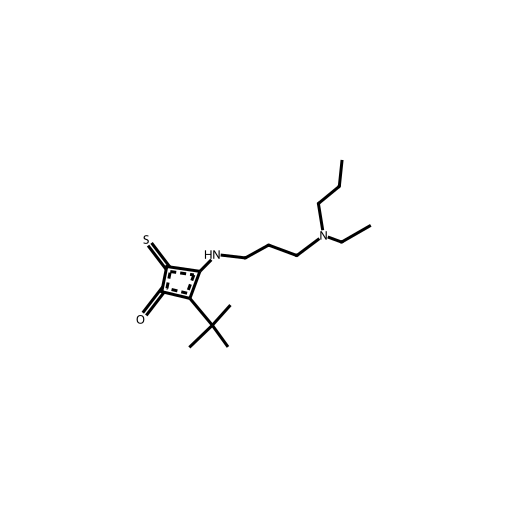 CCCN(CC)CCCNc1c(C(C)(C)C)c(=O)c1=S